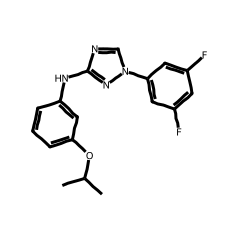 CC(C)Oc1cccc(Nc2ncn(-c3cc(F)cc(F)c3)n2)c1